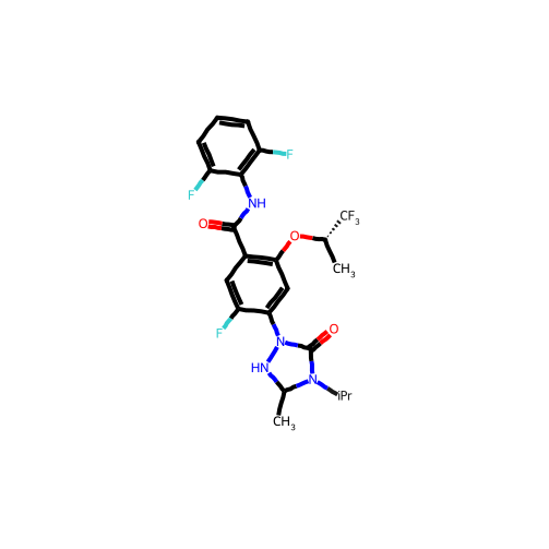 CC(C)N1C(=O)N(c2cc(O[C@@H](C)C(F)(F)F)c(C(=O)Nc3c(F)cccc3F)cc2F)NC1C